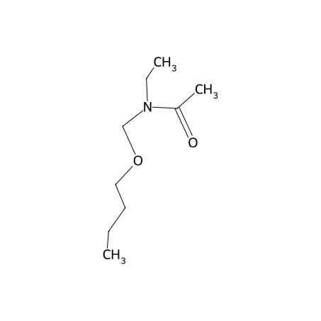 CCCCOCN(CC)C(C)=O